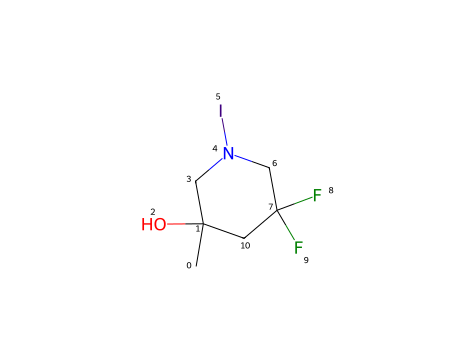 CC1(O)CN(I)CC(F)(F)C1